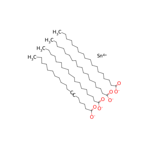 CCCCCCCCCCCCCCCCCC(=O)[O-].CCCCCCCCCCCCCCCCCC(=O)[O-].CCCCCCCCCCCCCCCCCC(=O)[O-].CCCCCCCCCCCCCCCCCC(=O)[O-].[Sn+4]